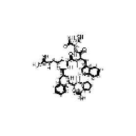 [2H]C(=O)[C@@H]1CCCN1N[C@@H](C)C(=O)NC(Cc1ccccc1)C(=O)N[C@@H](CCCNC(=N)N)C(=O)NC(Cc1c[nH]c2ccccc12)C(=O)N[C@@H](CS)C(N)=O